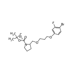 CC(C)(C)OC(=O)N1CCCC1COCCCOc1ccc(Br)c(F)c1